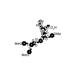 COc1ccc(COC(=O)C2=C(C[N+]34CCC(CNN5C(=O)c6cc(OCc7ccc(OC)cc7)c(OCc7ccc(OC)cc7)cc6C5=O)(CC3)CC4)[C@H](C)S[C@@H]3[C@H](NC(=O)/C(=N\OC(C)(C)C(=O)O)c4csc(NC(=O)OC(C)(C)C)n4)C(=O)N23)cc1